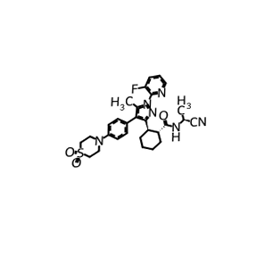 Cc1c(-c2ccc(N3CCS(=O)(=O)CC3)cc2)c([C@@H]2CCCC[C@H]2C(=O)N[C@@H](C)C#N)nn1-c1ncccc1F